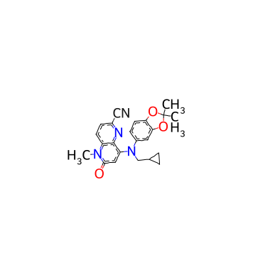 Cn1c(=O)cc(N(CC2CC2)c2ccc3c(c2)OC(C)(C)O3)c2nc(C#N)ccc21